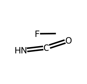 CF.N=C=O